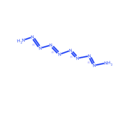 N/N=N/N=N/N=N/N=N/N